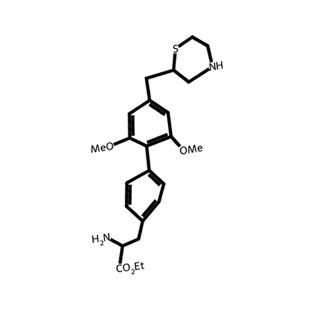 CCOC(=O)C(N)Cc1ccc(-c2c(OC)cc(CC3CNCCS3)cc2OC)cc1